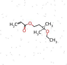 C=CC(=O)OCC[Si](C)(C)OCC